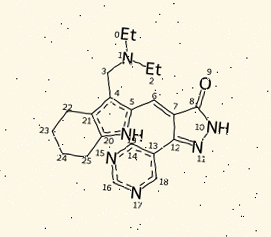 CCN(CC)Cc1c(/C=C2/C(=O)NN=C2c2cncnc2)[nH]c2c1CCCC2